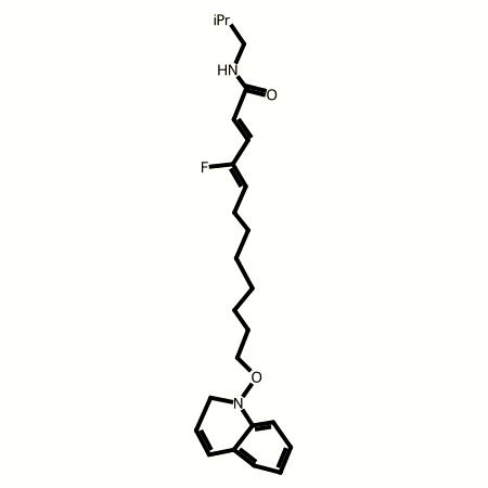 CC(C)CNC(=O)C=CC(F)=CCCCCCCCON1CC=Cc2ccccc21